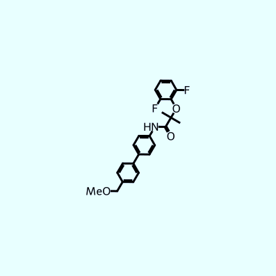 COCc1ccc(-c2ccc(NC(=O)C(C)(C)Oc3c(F)cccc3F)cc2)cc1